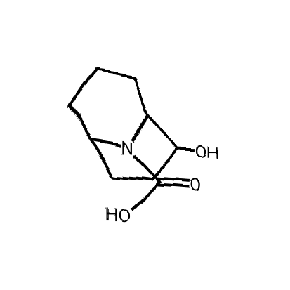 O=C(O)N1C2CCCC1C(O)CC2